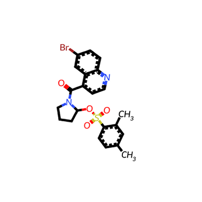 Cc1ccc(S(=O)(=O)OC2CCCN2C(=O)c2ccnc3ccc(Br)cc23)c(C)c1